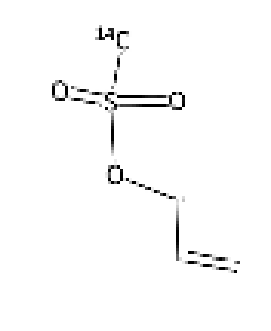 C=C[CH]OS([14CH3])(=O)=O